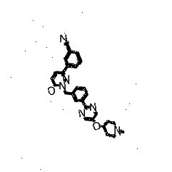 CN1CCC(Oc2cnc(-c3cccc(Cn4nc(-c5cccc(C#N)c5)ccc4=O)c3)nc2)CC1